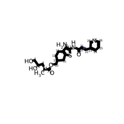 CN(CC(O)CO)C(=O)OCC1CCc2c(sc(NC(=O)/C=C/c3cccnc3)c2N)C1